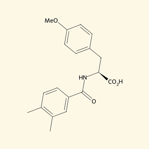 COc1ccc(C[C@H](NC(=O)c2ccc(C)c(C)c2)C(=O)O)cc1